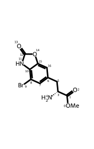 COC(=O)[C@H](N)Cc1cc(Br)c2[nH]c(=O)oc2c1